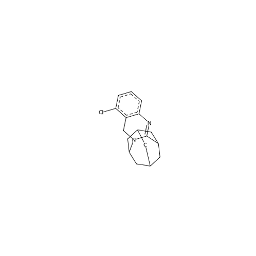 Clc1cccc2c1CN1C(=N2)C2CC3CC(C2)CC1C3